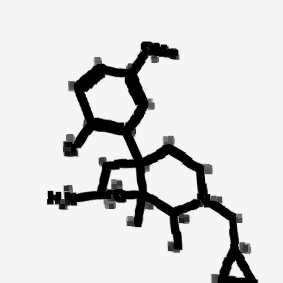 CCc1ccc(OC)cc1C1(CCN)CCN(CC2CC2)C(C)C1(C)OC(C)=O